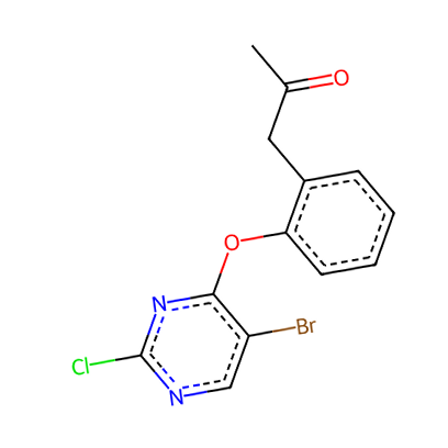 CC(=O)Cc1ccccc1Oc1nc(Cl)ncc1Br